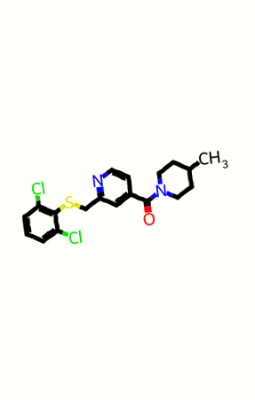 CC1CCN(C(=O)c2ccnc(CSc3c(Cl)cccc3Cl)c2)CC1